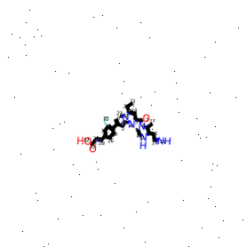 C=C(/C=C1/N=C(C(=O)N2CCNC(CC=N)C2C)C=C(CC)N1C)c1ccc(/C=C/C(=O)O)cc1F